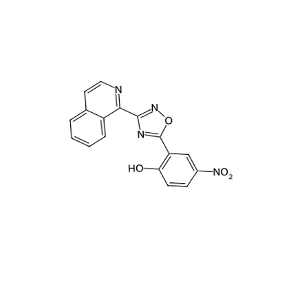 O=[N+]([O-])c1ccc(O)c(-c2nc(-c3nccc4ccccc34)no2)c1